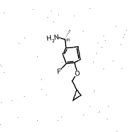 C[C@@H](N)c1ccc(OCC2CC2)c(F)c1